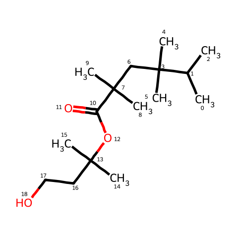 CC(C)C(C)(C)CC(C)(C)C(=O)OC(C)(C)CCO